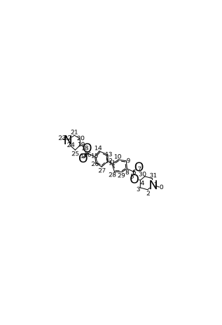 CN1CCC(OC(=O)c2ccc(-c3ccc(C(=O)OC4CCN(C)CC4)cc3)cc2)CC1